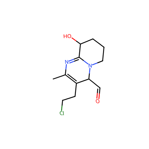 CC1=C(CCCl)C(C=O)N2CCCC(O)C2=N1